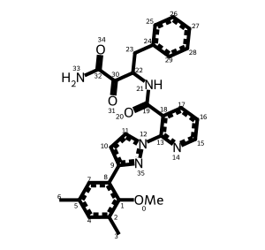 COc1c(C)cc(C)cc1-c1ccn(-c2ncccc2C(=O)NC(Cc2ccccc2)C(=O)C(N)=O)n1